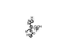 N#CCC1(n2cc(-c3ncnc4[nH]ccc34)cn2)CN(C(=O)c2ccc[nH]2)C1.O=C(O)C(F)(F)F